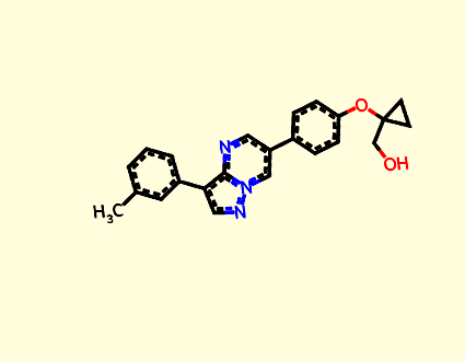 Cc1cccc(-c2cnn3cc(-c4ccc(OC5(CO)CC5)cc4)cnc23)c1